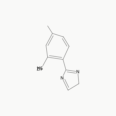 Cc1ccc(C2=NCC=N2)c(S)c1.[Zn]